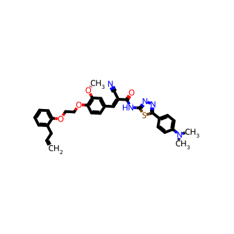 C=CCc1ccccc1OCCOc1ccc(/C=C(\C#N)C(=O)Nc2nnc(-c3ccc(N(C)C)cc3)s2)cc1OC